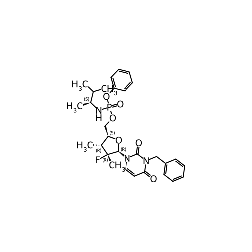 CC(C)[C@H](C)NP(=O)(OC[C@H]1O[C@@H](n2ccc(=O)n(Cc3ccccc3)c2=O)[C@](C)(F)[C@@H]1C)Oc1ccccc1